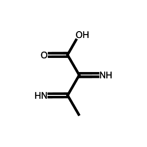 CC(=N)C(=N)C(=O)O